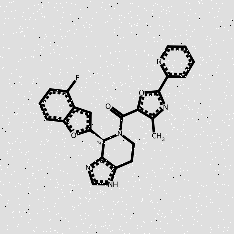 Cc1nc(-c2ccccn2)oc1C(=O)N1CCc2[nH]cnc2[C@H]1c1cc2c(F)cccc2o1